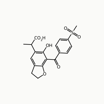 CC(C(=O)O)c1cc2c(c(C(=O)c3ccc(S(C)(=O)=O)cc3)c1O)OCC2